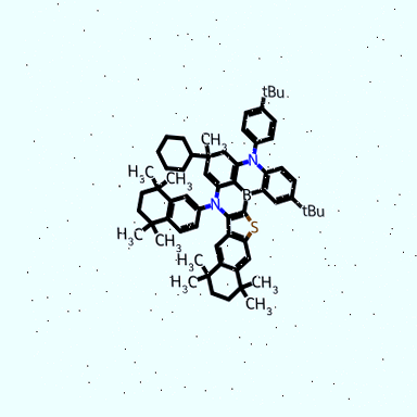 CC(C)(C)c1ccc(N2C3=C4B(c5cc(C(C)(C)C)ccc52)c2sc5cc6c(cc5c2N(c2ccc5c(c2)C(C)(C)CCC5(C)C)C4=CC(C)(C2CCCCC2)C3)C(C)(C)CCC6(C)C)cc1